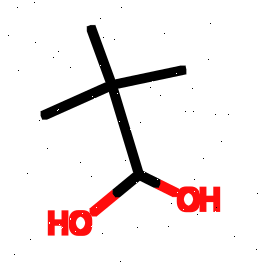 CC(C)(C)C(O)O